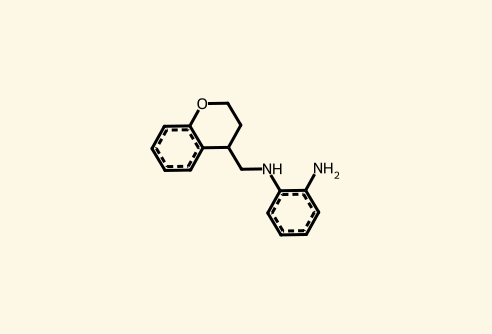 Nc1ccccc1NCC1CCOc2ccccc21